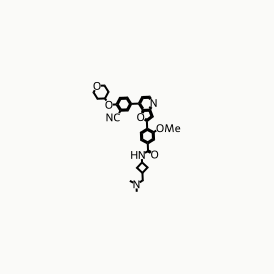 COc1cc(C(=O)NC2CC(CN(C)C)C2)ccc1-c1cc2nccc(-c3ccc(OC4CCOCC4)c(C#N)c3)c2o1